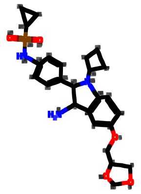 NC1c2cc(OCC3COCO3)ccc2N(C2CCC2)C1c1ccc(NS(=O)(=O)C2CC2)cc1